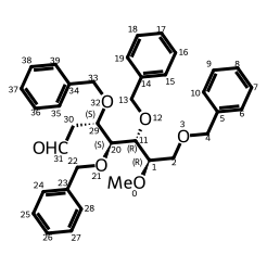 CO[C@H](COCc1ccccc1)[C@@H](OCc1ccccc1)[C@@H](OCc1ccccc1)[C@H](CC=O)OCc1ccccc1